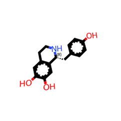 Oc1ccc(C[C@H]2NCCc3cc(O)c(O)cc32)cc1